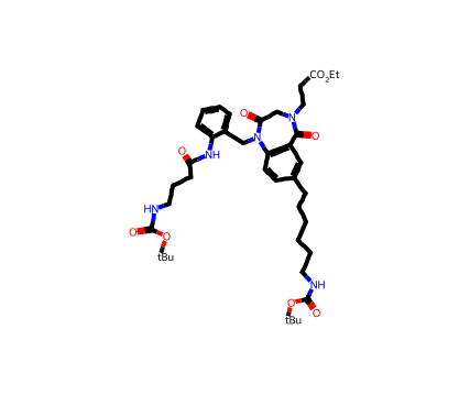 CCOC(=O)CCN1CC(=O)N(Cc2ccccc2NC(=O)CCCNC(=O)OC(C)(C)C)c2ccc(CCCCCCNC(=O)OC(C)(C)C)cc2C1=O